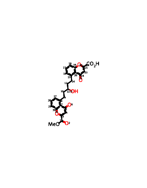 COC(=O)c1cc(=O)c2c(CCC(O)CCc3cccc4oc(C(=O)O)cc(=O)c34)cccc2o1